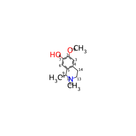 COc1cc2c(cc1O)C(C)N(C)CC2